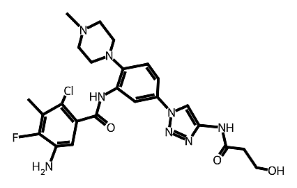 Cc1c(F)c(N)cc(C(=O)Nc2cc(-n3cc(NC(=O)CCO)nn3)ccc2N2CCN(C)CC2)c1Cl